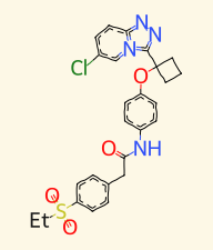 CCS(=O)(=O)c1ccc(CC(=O)Nc2ccc(OC3(c4nnc5ccc(Cl)cn45)CCC3)cc2)cc1